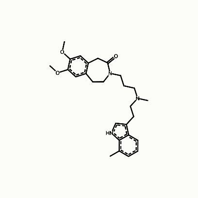 COc1cc2c(cc1OC)CC(=O)N(CCCN(C)CCc1c[nH]c3c(C)cccc13)CC2